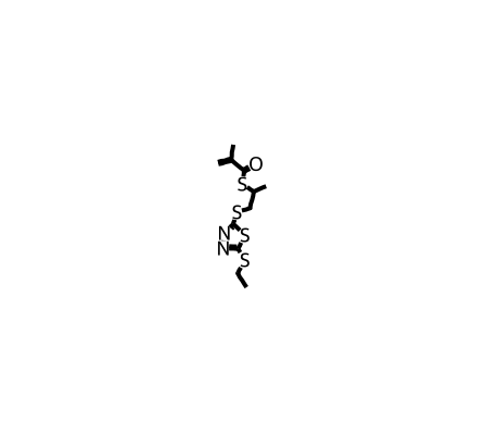 C=C(C)C(=O)SC(C)CSc1nnc(SCC)s1